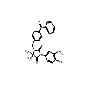 CC1(C)C(=O)N(c2ccc(C#N)c(C(F)(F)F)c2)C(=O)N1Cc1ccc(C(=O)c2ccccc2)cc1